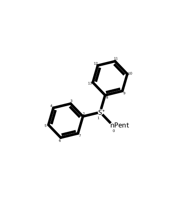 CCCCC[S+](c1ccccc1)c1ccccc1